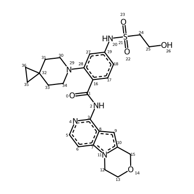 O=C(Nc1nccc2c1cc1n2CCOC1)c1ccc(NS(=O)(=O)CCO)cc1N1CCC2(CC1)CC2